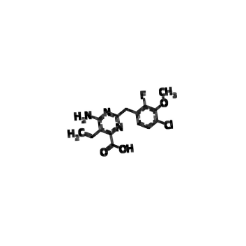 C=Cc1c(N)nc(Cc2ccc(Cl)c(OC)c2F)nc1C(=O)O